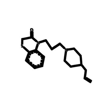 C=CCC1CCN(CCCN2C(=O)CSc3ccccc32)CC1